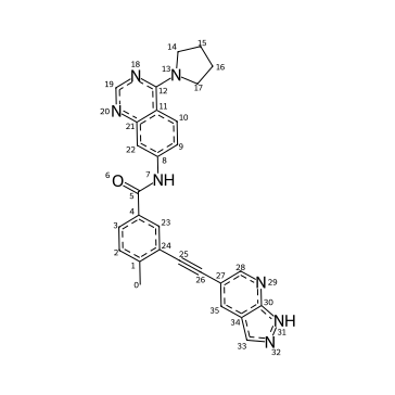 Cc1ccc(C(=O)Nc2ccc3c(N4CCCC4)ncnc3c2)cc1C#Cc1cnc2[nH]ncc2c1